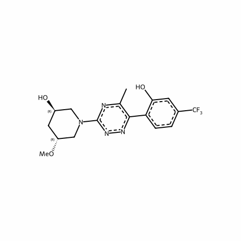 CO[C@@H]1C[C@@H](O)CN(c2nnc(-c3ccc(C(F)(F)F)cc3O)c(C)n2)C1